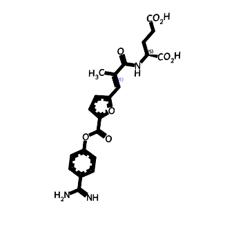 C/C(=C\c1ccc(C(=O)Oc2ccc(C(=N)N)cc2)o1)C(=O)N[C@@H](CCC(=O)O)C(=O)O